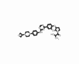 CC(O)C(=O)N1CCC(Oc2ccc(-c3ncnc(Nc4ccc(N5CCN(C6COC6)CC5)cc4)n3)cc2C#N)C1